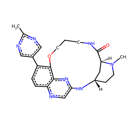 Cc1ncc(-c2ccc3ncc4nc3c2OCCCNC(=O)[C@@H]2C[C@H](CCN2C)N4)cn1